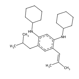 CC(C)=Cc1cc(CC(C)C)c(NC2CCCCC2)cc1NC1CCCCC1